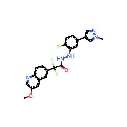 COc1cnc2ccc(C(F)(F)C(=O)NNc3cc(-c4cnn(C)c4)ccc3F)cc2c1